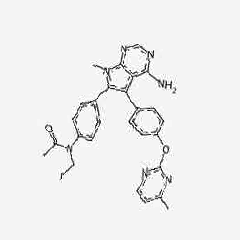 CC(=O)N(CI)c1ccc(-c2c(-c3ccc(Oc4nccc(C)n4)cc3)c3c(N)ncnc3n2C)cc1